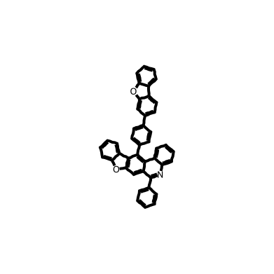 c1ccc(-c2nc3ccccc3c3c(-c4ccc(-c5ccc6c(c5)oc5ccccc56)cc4)c4c(cc23)oc2ccccc24)cc1